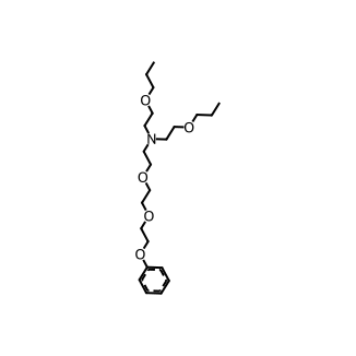 CCCOCCN(CCOCCC)CCOCCOCCOc1ccccc1